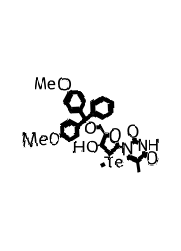 COc1ccc(C(OC[C@H]2O[C@@H](n3cc(C)c(=O)[nH]c3=O)[C@H]([Te]C)[C@@H]2O)(c2ccccc2)c2ccc(OC)cc2)cc1